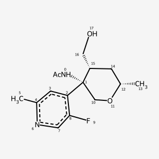 CC(=O)N[C@@]1(c2cc(C)ncc2F)CO[C@@H](C)C[C@H]1CO